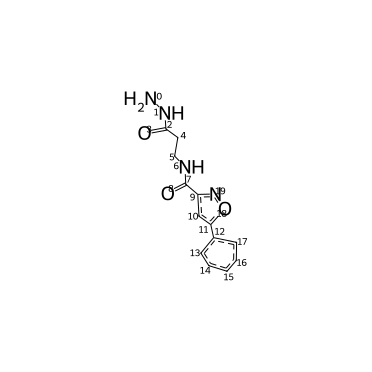 NNC(=O)CCNC(=O)c1cc(-c2ccccc2)on1